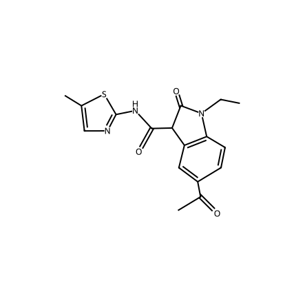 CCN1C(=O)C(C(=O)Nc2ncc(C)s2)c2cc(C(C)=O)ccc21